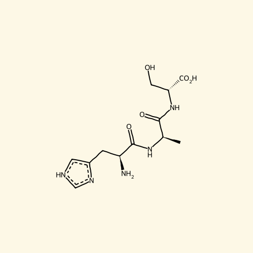 C[C@@H](NC(=O)[C@@H](N)Cc1c[nH]cn1)C(=O)N[C@H](CO)C(=O)O